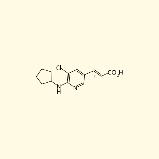 O=C(O)/C=C/c1cnc(NC2CCCC2)c(Cl)c1